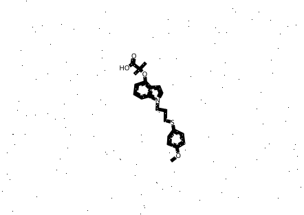 COc1ccc(SCCCn2ccc3c(OC(C)(C)C(=O)O)cccc32)cc1